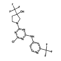 OC1(C(F)(F)F)CCN(c2nc(Cl)nc(Nc3ccnc(C(F)(F)F)c3)n2)C1